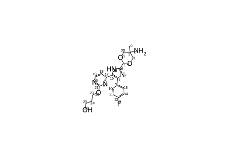 CC1(N)COC(c2nc(-c3ccc(F)cc3)c(-c3ccnc(OCCCO)n3)[nH]2)OC1